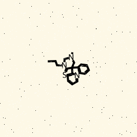 CCCN1CN(C)CC(c2ccccc2)(c2ccccn2)C1=S